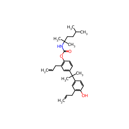 C=CCc1cc(C(C)(C)c2ccc(OC(=O)NC(C)(C)CCC(C)C)c(CC=C)c2)ccc1O